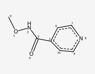 CONC(=O)c1ccncc1